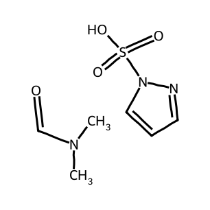 CN(C)C=O.O=S(=O)(O)n1cccn1